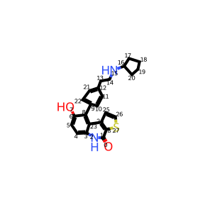 O=c1[nH]c2ccc(O)c(-c3ccc(CCNC4CCCC4)cc3)c2c2ccsc12